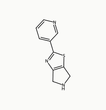 c1cncc(-c2nc3c(s2)CNC3)c1